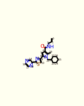 C=CCNC(=O)c1cc(-c2csc(-c3cnccn3)n2)n(CC2CCCCC2)c1C